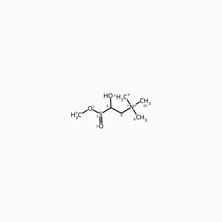 COS(=O)C(O)C[N+](C)(C)C